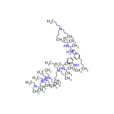 CC(C)NC(C)C.CC(C)NC(C)C.CCCCN(CCCC)CCCC.CCCCN(CCCC)CCCC.CCCCc1ccc(N)cc1.CCCNCCC.CCCNCCC.CCN(CC)CC.CCN(CC)CC.CCNc1ccccc1